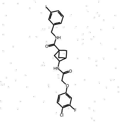 O=C(COc1ccc(Cl)c(F)c1)NC1CC2(C(=O)NCc3cccc(I)c3)CC1C2